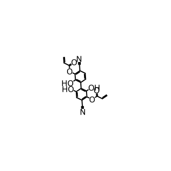 C=CC(=O)Oc1c(C#N)ccc(-c2c(O)cc(C#N)c(OC(=O)C=C)c2O)c1O